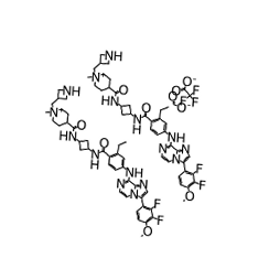 CCc1cc(Nc2nccn3c(-c4ccc(OC)c(F)c4F)cnc23)ccc1C(=O)NC1CC(NC(=O)C2CC[N+](C)(CC3CNC3)CC2)C1.CCc1cc(Nc2nccn3c(-c4ccc(OC)c(F)c4F)cnc23)ccc1C(=O)NC1CC(NC(=O)C2CC[N+](C)(CC3CNC3)CC2)C1.O=C([O-])C(F)(F)F.O=C[O-]